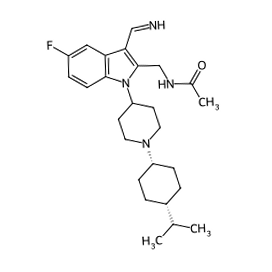 CC(=O)NCc1c(C=N)c2cc(F)ccc2n1C1CCN([C@H]2CC[C@@H](C(C)C)CC2)CC1